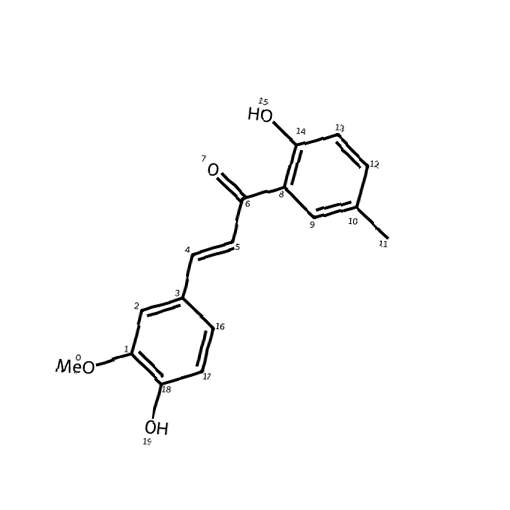 COc1cc(C=CC(=O)c2cc(C)ccc2O)ccc1O